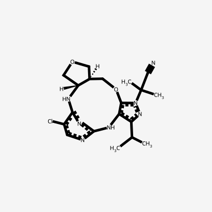 CC(C)c1nn(C(C)(C)C#N)c2c1Nc1ncc(Cl)c(n1)N[C@@H]1COC[C@H]1CO2